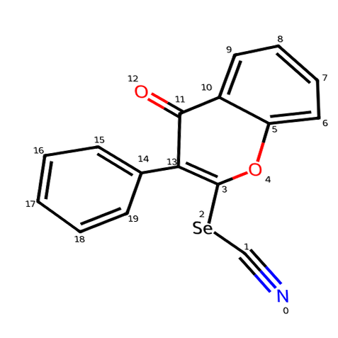 N#C[Se]c1oc2ccccc2c(=O)c1-c1ccccc1